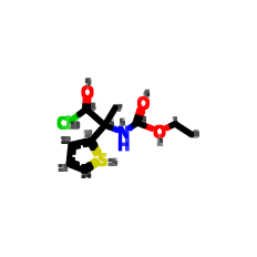 CCOC(=O)NC(C)(C(=O)Cl)c1cccs1